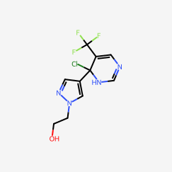 OCCn1cc(C2(Cl)NC=NC=C2C(F)(F)F)cn1